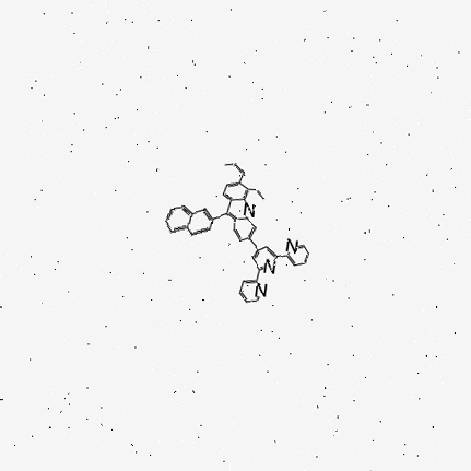 C=Cc1c(/C=C\C)ccc2c(-c3ccc4ccccc4c3)c3ccc(-c4cc(-c5ccccn5)nc(-c5ccccn5)c4)cc3nc12